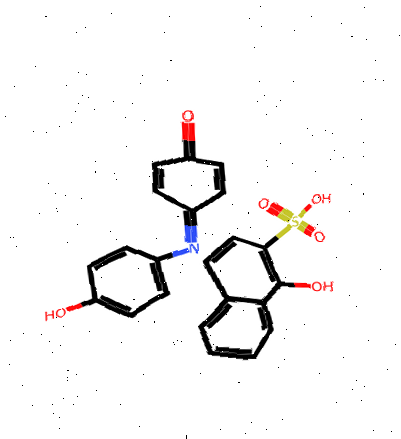 O=C1C=CC(=Nc2ccc(O)cc2)C=C1.O=S(=O)(O)c1ccc2ccccc2c1O